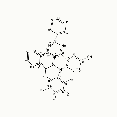 Cc1c(C)c(C)c2c(c1C)Cc1c(C)c(C)c(C)c(C)c1N2c1ccc(C#N)cc1-c1nc(-c2ccccc2)nc(-c2ccccc2)n1